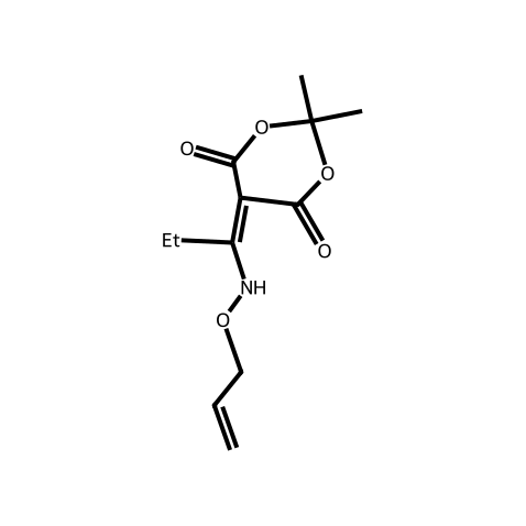 C=CCONC(CC)=C1C(=O)OC(C)(C)OC1=O